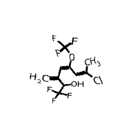 C=C(/C=C(\C=C(/C)Cl)OC(F)(F)F)C(O)C(F)(F)F